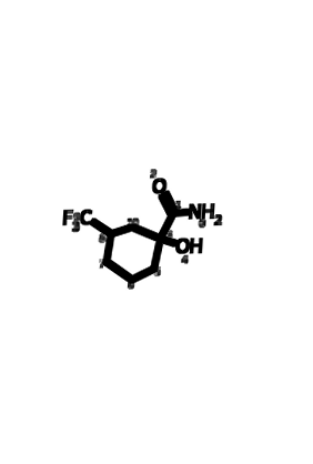 NC(=O)C1(O)CCCC(C(F)(F)F)C1